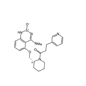 CNC1=N[S+]([O-])Nc2cccc(OC[C@H]3CCCCN3C(=O)CCc3cccnc3)c21